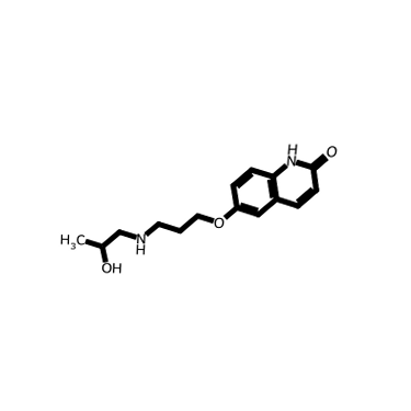 CC(O)CNCCCOc1ccc2[nH]c(=O)ccc2c1